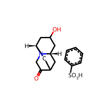 O=C1CN2[C@@H]3CC(O)C[C@@H]2CC1C3.O=S(=O)(O)c1ccccc1